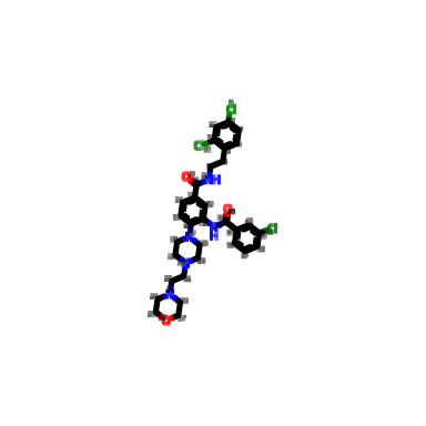 O=C(NCCc1ccc(Cl)cc1Cl)c1ccc(N2CCN(CCN3CCOCC3)CC2)c(NC(=O)c2cccc(Cl)c2)c1